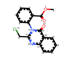 COC(=O)c1ccccc1-n1c(CCl)nc2ccccc2c1=O